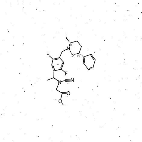 COC(=O)CN(C#N)C(C)c1cc(F)c(CN2S[C@@H](c3ccccc3)CC[C@@H]2C)cc1F